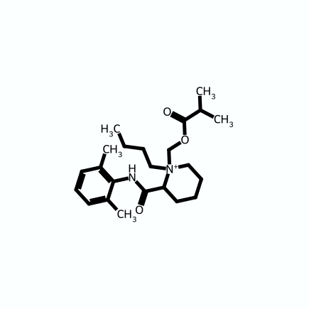 CCCC[N+]1(COC(=O)C(C)C)CCCCC1C(=O)Nc1c(C)cccc1C